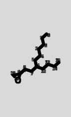 CCCCCCC(C[CH]C1CO1)CCCC